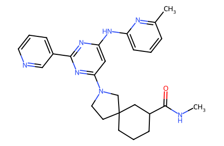 CNC(=O)C1CCCC2(CCN(c3cc(Nc4cccc(C)n4)nc(-c4cccnc4)n3)C2)C1